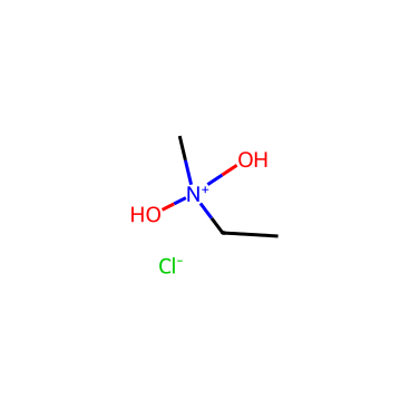 CC[N+](C)(O)O.[Cl-]